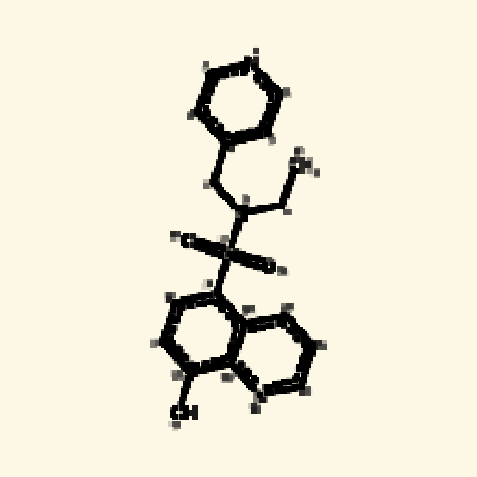 CCN(Cc1ccncc1)S(=O)(=O)c1ccc(O)c2ncccc12